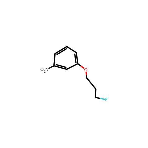 O=[N+]([O-])c1cccc(OCCCF)c1